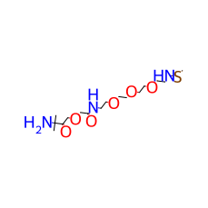 CSNCCOCCOCCOCCNC(=O)COCC(=O)C(C)(C)N